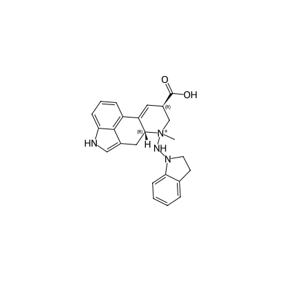 C[N+]1(NN2CCc3ccccc32)C[C@H](C(=O)O)C=C2c3cccc4[nH]cc(c34)C[C@H]21